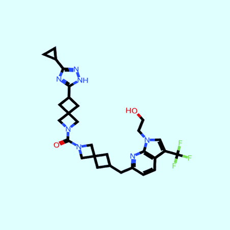 O=C(N1CC2(CC(Cc3ccc4c(C(F)(F)F)cn(CCO)c4n3)C2)C1)N1CC2(CC(c3nc(C4CC4)n[nH]3)C2)C1